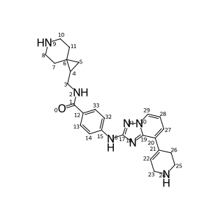 O=C(NCC1CC12CCNCC2)c1ccc(Nc2nc3c(C4=CCNCC4)cccn3n2)cc1